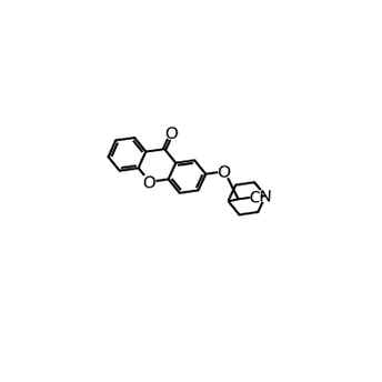 O=c1c2ccccc2oc2ccc(OC3CN4CCC3CC4)cc12